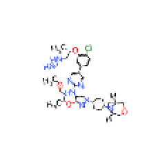 COCCC(C)Oc1nn([C@H]2CC[C@H](N3[C@@H]4CC[C@H]3COC4)CC2)cc1Nc1ncc(-c2ccc(Cl)c(O[C@@H](C)CNC=N)c2)cn1